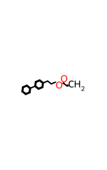 C=CC(=O)OCCCc1ccc(-c2ccccc2)cc1